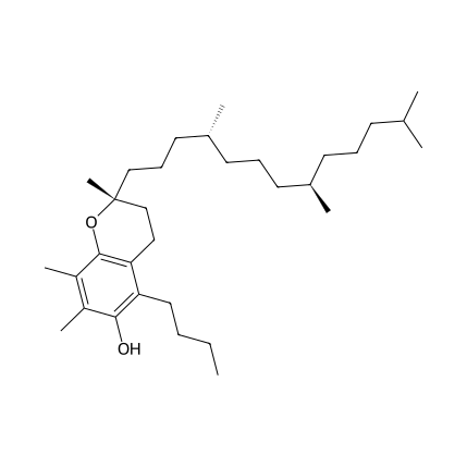 CCCCc1c(O)c(C)c(C)c2c1CC[C@@](C)(CCC[C@H](C)CCC[C@H](C)CCCC(C)C)O2